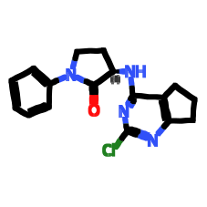 O=C1[C@H](Nc2nc(Cl)nc3c2CCC3)CCN1c1ccccc1